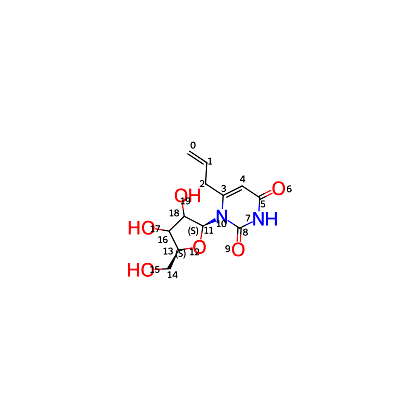 C=CCc1cc(=O)[nH]c(=O)n1[C@H]1O[C@@H](CO)C(O)C1O